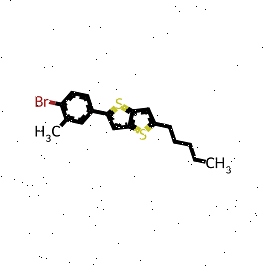 CCCCCc1cc2sc(-c3ccc(Br)c(C)c3)cc2s1